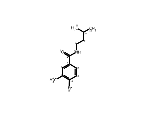 Cc1cc(C(=O)NCCC(C)C)ccc1Br